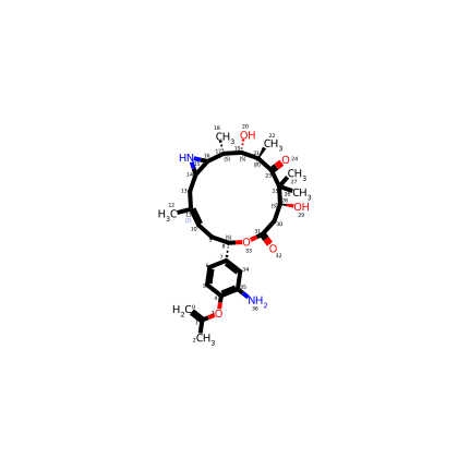 C=C(C)Oc1ccc([C@@H]2C/C=C(/C)CC3NC3[C@H](C)[C@H](O)[C@@H](C)C(=O)C(C)(C)[C@@H](O)CC(=O)O2)cc1N